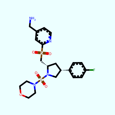 NCc1ccnc(S(=O)(=O)C[C@@H]2C[C@H](c3ccc(F)cc3)CN2S(=O)(=O)N2CCOCC2)c1